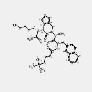 CN(C(=O)[C@@H](Cc1ccc2ccccc2c1)NC(=O)/C=C/CC(C)(C)N)[C@H](Cc1cccs1)C(=O)N[C@@H](CCCCN)C(N)=O